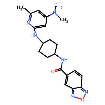 Cc1cc(N(C)C)cc(NC2CCC(NC(=O)c3ccc4nonc4c3)CC2)n1